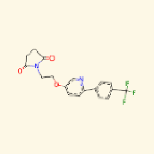 O=C1CCC(=O)N1CCOc1ccc(-c2ccc(C(F)(F)F)cc2)nc1